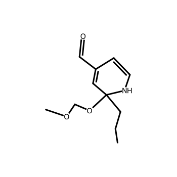 CCCC1(OCOC)C=C(C=O)C=CN1